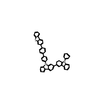 C1=C(c2ccc3c4ccccc4n(-c4ccc(-c5ccc(-c6ccc7c(c6)sc6ccccc67)cc5)cc4)c3c2)CCc2c1c1ccccc1n2-c1ccccc1